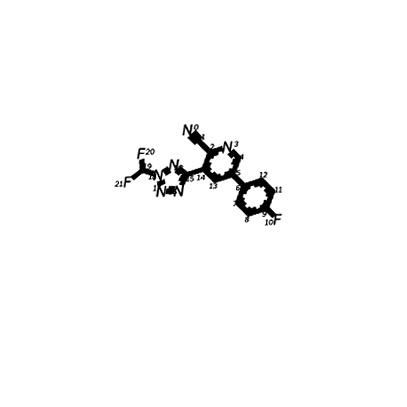 N#Cc1ncc(-c2ccc(F)cc2)cc1-c1nnn(C(F)F)n1